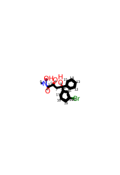 CN(O)C(=O)C(=O)CC(O)(c1ccccc1)c1cccc(Br)c1